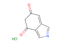 Cl.O=C1C=C2C=NC=C2C(=O)C1